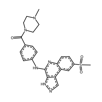 CN1CCN(C(=O)c2ccc(Nc3nc4ccc(S(C)(=O)=O)cc4c4cn[nH]c34)cc2)CC1